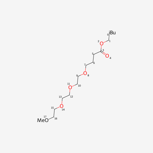 CCC(C)COC(=O)CCCOCCOCCOCCOC